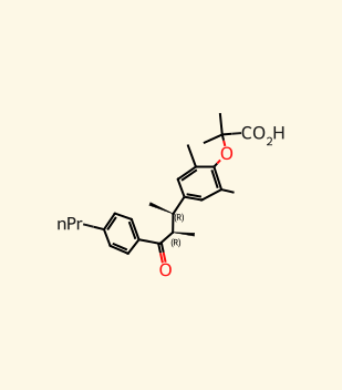 CCCc1ccc(C(=O)[C@H](C)[C@@H](C)c2cc(C)c(OC(C)(C)C(=O)O)c(C)c2)cc1